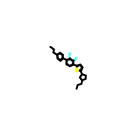 CCCc1ccc(-c2ccc(-c3ccc(C4CCC(CCC)C4)s3)c(F)c2F)cc1